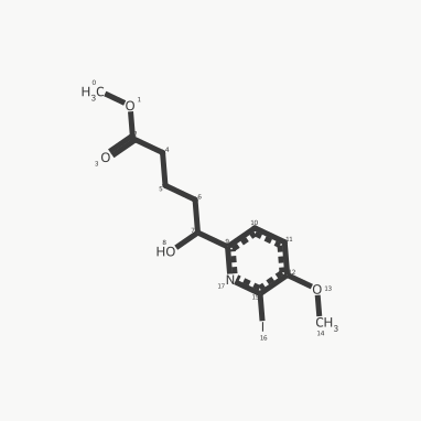 COC(=O)CCCC(O)c1ccc(OC)c(I)n1